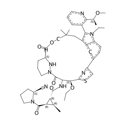 CCO[C@@H]1c2nc(cs2)-c2ccc3c(c2)c(c(-c2cccnc2[C@H](C)OC)n3CC)CC(C)(C)COC(=O)[C@@H]2CCCN(N2)C(=O)C1NC(=O)[C@@H]1[C@@H](C)[C@H]1C(=O)N1CCC[C@H]1C#N